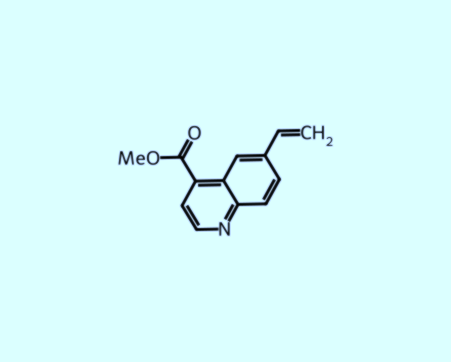 C=Cc1ccc2nccc(C(=O)OC)c2c1